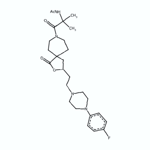 CC(=O)NC(C)(C)C(=O)N1CCC2(CC1)CC(CCN1CCN(c3ccc(F)cc3)CC1)OC2=O